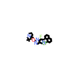 CC1(C)CN2CCCC2(COc2ncc3cnc(-c4cccc5cccc(Cl)c45)c(F)c3n2)C1